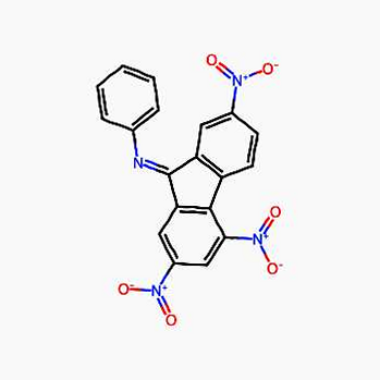 O=[N+]([O-])c1ccc2c(c1)C(=Nc1ccccc1)c1cc([N+](=O)[O-])cc([N+](=O)[O-])c1-2